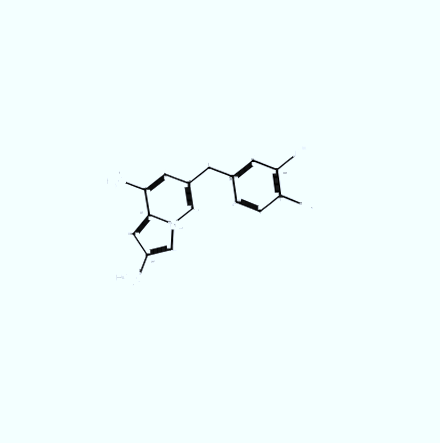 Cc1cc(Cc2ccc(F)c(F)c2)cn2cc(C(=O)O)cc12